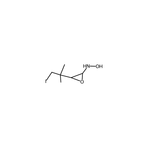 CC(C)(CI)C1OC1NO